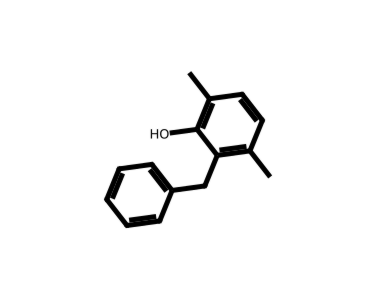 Cc1ccc(C)c(Cc2ccccc2)c1O